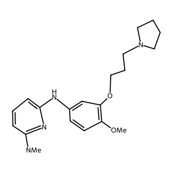 CNc1cccc(Nc2ccc(OC)c(OCCCN3CCCC3)c2)n1